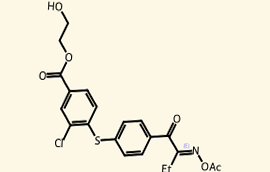 CC/C(=N\OC(C)=O)C(=O)c1ccc(Sc2ccc(C(=O)OCCO)cc2Cl)cc1